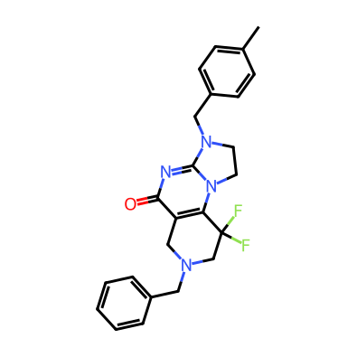 Cc1ccc(CN2CCn3c2nc(=O)c2c3C(F)(F)CN(Cc3ccccc3)C2)cc1